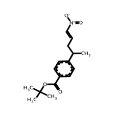 CC(CC=C[N+](=O)[O-])c1ccc(C(=O)OC(C)(C)C)cc1